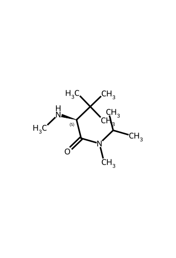 CN[C@H](C(=O)N(C)C(C)C)C(C)(C)C